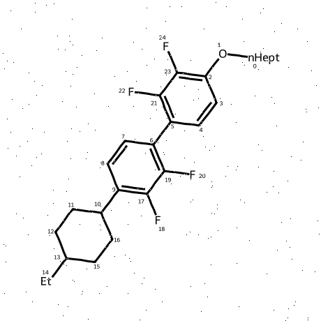 CCCCCCCOc1ccc(-c2ccc(C3CCC(CC)CC3)c(F)c2F)c(F)c1F